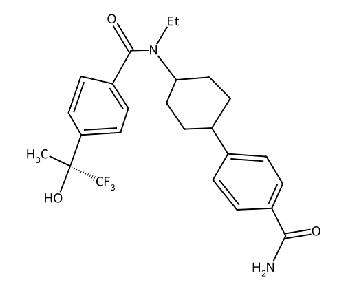 CCN(C(=O)c1ccc([C@](C)(O)C(F)(F)F)cc1)C1CCC(c2ccc(C(N)=O)cc2)CC1